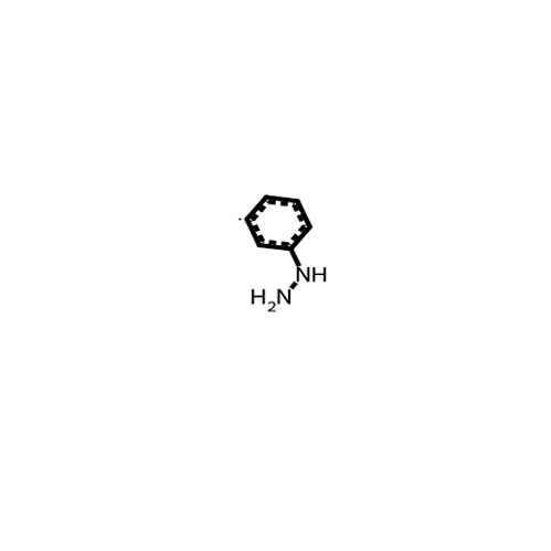 NNc1c[c]ccc1